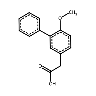 COc1ccc(CC(=O)O)cc1-c1ccccc1